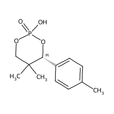 Cc1ccc([C@H]2OP(=O)(O)OCC2(C)C)cc1